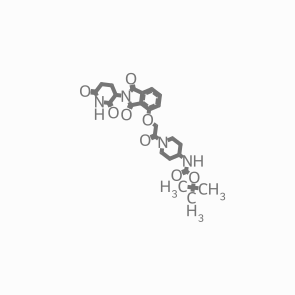 CC(C)(C)OC(=O)NC1CCN(C(=O)COc2cccc3c2C(=O)N(C2CCC(=O)NC2=O)C3=O)CC1